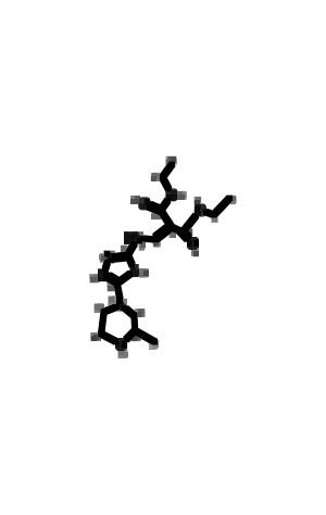 CCOC(=O)C(=CNc1nnc(N2CCOC(C)C2)s1)C(=O)OCC